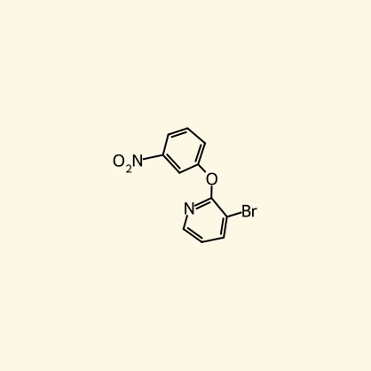 O=[N+]([O-])c1cccc(Oc2ncccc2Br)c1